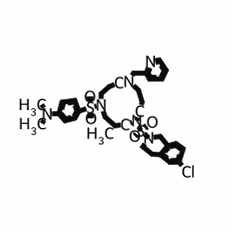 C[C@H]1CN(S(=O)(=O)c2ccc(N(C)C)cc2)CCCN(Cc2ccccn2)CCCN(S(=O)(=O)N2CCc3cc(Cl)ccc3C2)C1